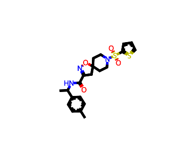 Cc1ccc(C(C)NC(=O)C2=NOC3(CCN(S(=O)(=O)c4cccs4)CC3)C2)cc1